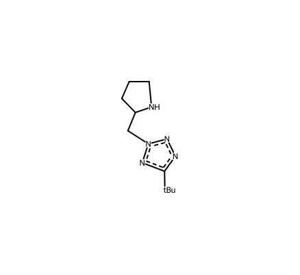 CC(C)(C)c1nnn(CC2CCCN2)n1